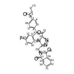 CCC[S+]([O-])c1ccc(C(=O)c2cc(F)ccc2-n2c(CC)nnc2CN2C(=O)c3ccccc3C2=O)cc1